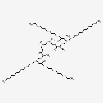 CCCCCCCCCCCCCCN(CCN(C)C(=O)CCN(C)CCN(C)CCC(=O)N(C)CCN(CC(O)CCCCCCCCCCCC)CC(O)CCCCCCCCCCCC)CC(O)CCCCCCCCCCCC